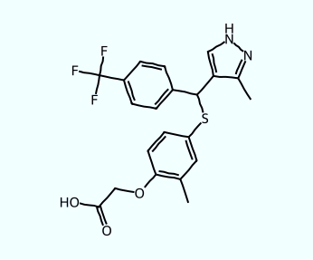 Cc1cc(SC(c2ccc(C(F)(F)F)cc2)c2c[nH]nc2C)ccc1OCC(=O)O